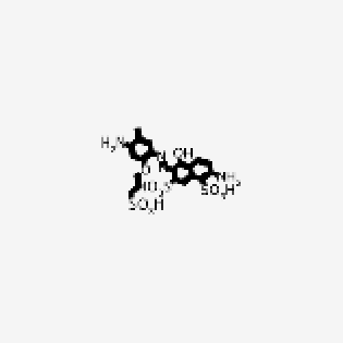 Cc1cc(N=Nc2c(S(=O)(=O)O)cc3c(S(=O)(=O)O)c(N)ccc3c2O)c(OCCCS(=O)(=O)O)cc1N